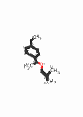 CCc1ccc(C(C)OCC(C)C)cc1